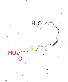 CC/C=C\C/C=C\C/C=C\CC(F)CCSCCC(=O)O